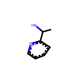 CC([NH])c1ccccn1